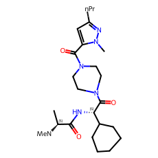 CCCc1cc(C(=O)N2CCN(C(=O)[C@@H](NC(=O)[C@H](C)NC)C3CCCCC3)CC2)n(C)n1